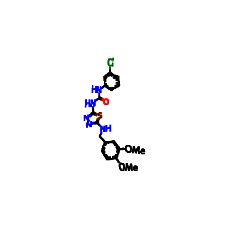 COc1ccc(CNc2nnc(NC(=O)Nc3cccc(Cl)c3)s2)cc1OC